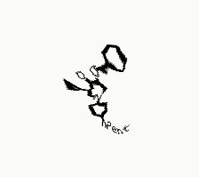 CCCCCc1ccc(-n2cc(OCc3ccccc3)c(=O)c(C3C=C3)c2)cc1